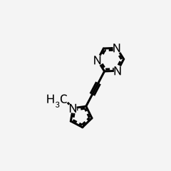 Cn1cccc1C#Cc1ncncn1